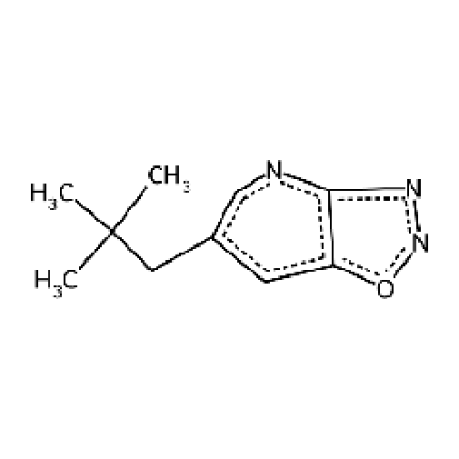 CC(C)(C)Cc1cnc2nnoc2c1